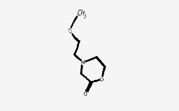 COCCN1CCOC(=O)C1